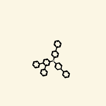 C1=CC(c2ccccc2)CC=C1N(c1ccc(-c2ccccc2)cc1)c1ccc(-c2ccccc2)c(-c2ccccc2)c1